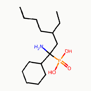 CCCCC(CC)CC(N)(C1CCCCC1)P(=O)(O)O